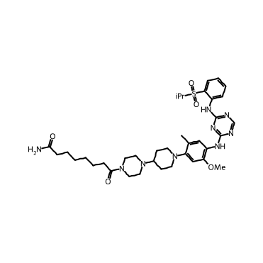 COc1cc(N2CCC(N3CCN(C(=O)CCCCCCC(N)=O)CC3)CC2)c(C)cc1Nc1ncnc(Nc2ccccc2S(=O)(=O)C(C)C)n1